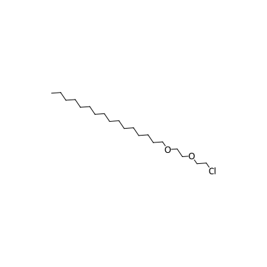 CCCCCCCCCCCCCCCCOCCOCCCl